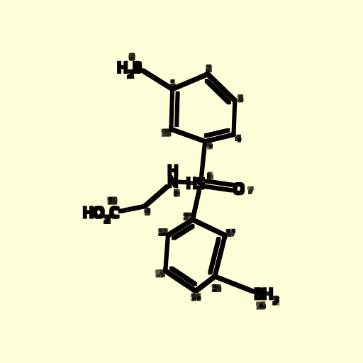 Bc1cccc([SH](=O)(NCC(=O)O)c2cccc(B)c2)c1